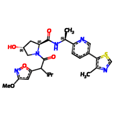 COc1cc(C(C(=O)N2C[C@H](O)C[C@H]2C(=O)N[C@@H](C)c2ccc(-c3scnc3C)cn2)C(C)C)on1